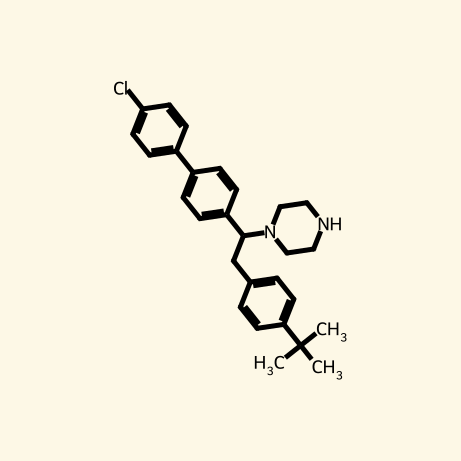 CC(C)(C)c1ccc(CC(c2ccc(-c3ccc(Cl)cc3)cc2)N2CCNCC2)cc1